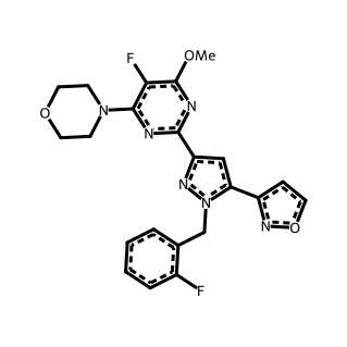 COc1nc(-c2cc(-c3ccon3)n(Cc3ccccc3F)n2)nc(N2CCOCC2)c1F